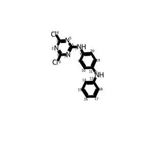 Clc1nc(Cl)nc(Nc2ccc(Nc3ccccc3)cc2)n1